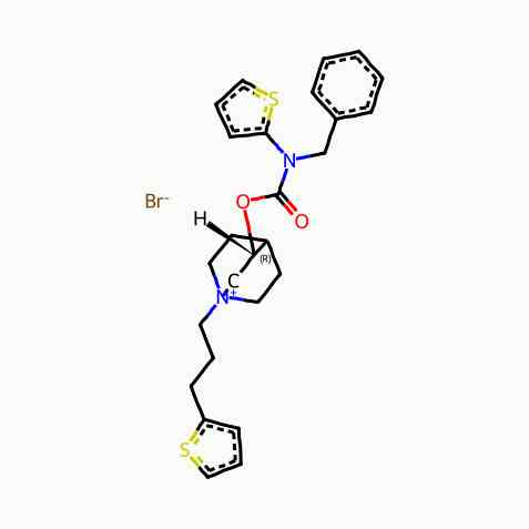 O=C(O[C@H]1C[N+]2(CCCc3cccs3)CCC1CC2)N(Cc1ccccc1)c1cccs1.[Br-]